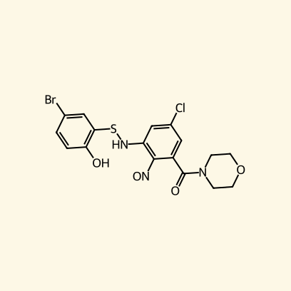 O=Nc1c(NSc2cc(Br)ccc2O)cc(Cl)cc1C(=O)N1CCOCC1